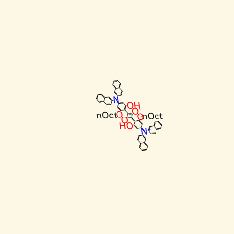 CCCCCCCCOC1=CC(=[N+](c2ccc3ccccc3c2)c2ccc3ccccc3c2)C=C(O)/C1=C1\C(=O)C(c2c(O)cc(N(c3ccc4ccccc4c3)c3ccc4ccccc4c3)cc2OCCCCCCCC)=C1[O-]